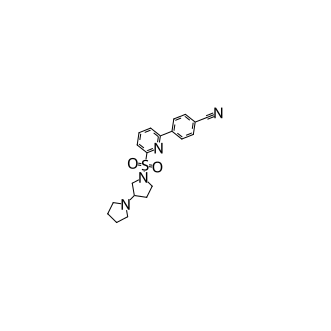 N#Cc1ccc(-c2cccc(S(=O)(=O)N3CCC(N4CCCC4)C3)n2)cc1